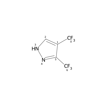 FC(F)(F)c1c[nH]nc1C(F)(F)F